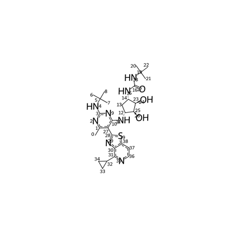 Cc1nc(NC(C)(C)C)nc(N[C@@H]2C[C@H](NC(=O)NC(C)(C)C)[C@@H](O)[C@H]2O)c1-c1nc2c(C3CC3)nccc2s1